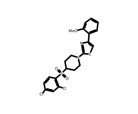 COc1ccccc1-c1csc(N2CCC(S(=O)(=O)c3ccc(Cl)cc3Cl)CC2)n1